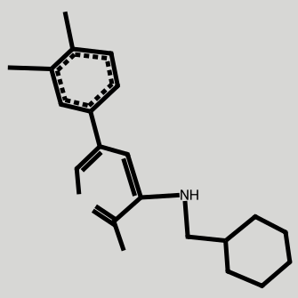 C=C(C)/C(=C\C(=C/C)c1ccc(C)c(C)c1)NCC1CCCCC1